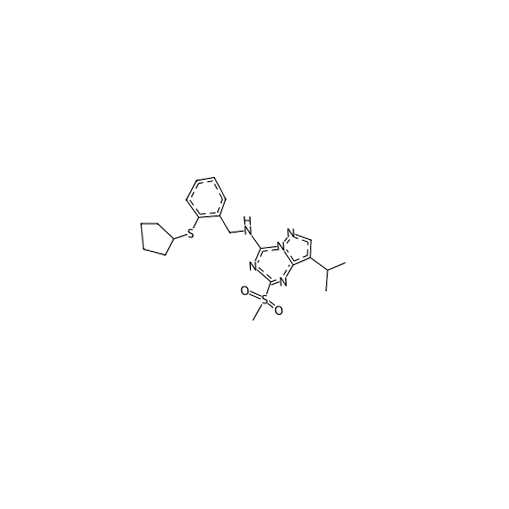 CC(C)c1cnn2c(NCc3ccccc3SC3CCCC3)nc(S(C)(=O)=O)nc12